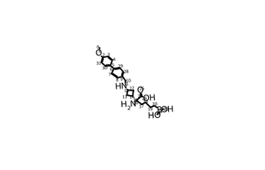 COc1ccc(-c2ccc(CN[C@H]3C[C@@H](C(N)(CCCCB(O)O)C(=O)O)C3)cc2)cc1